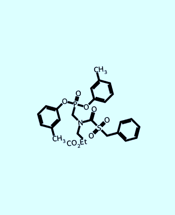 CCOC(=O)CN(CP(=O)(Oc1cccc(C)c1)Oc1cccc(C)c1)C(=O)S(=O)(=O)Cc1ccccc1